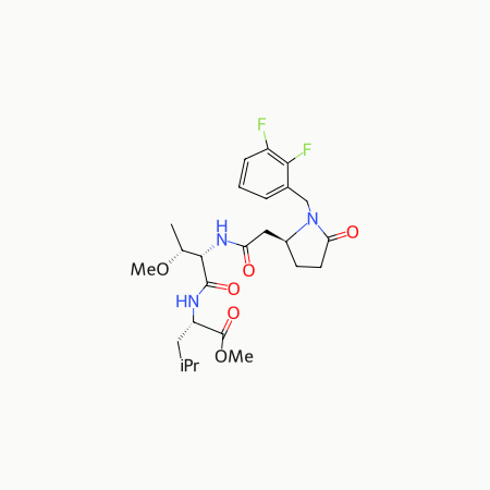 COC(=O)[C@H](CC(C)C)NC(=O)[C@@H](NC(=O)C[C@@H]1CCC(=O)N1Cc1cccc(F)c1F)[C@@H](C)OC